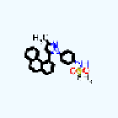 Cc1cc(-c2cccc3ccc4ccccc4c23)n(-c2ccc(NS(C)(=O)=O)cc2)n1